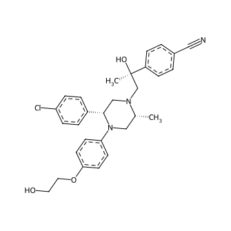 C[C@@H]1CN(c2ccc(OCCO)cc2)[C@H](c2ccc(Cl)cc2)CN1C[C@@](C)(O)c1ccc(C#N)cc1